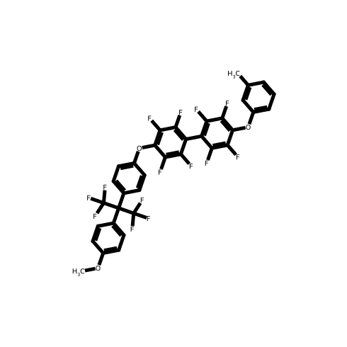 COc1ccc(C(c2ccc(Oc3c(F)c(F)c(-c4c(F)c(F)c(Oc5cccc(C)c5)c(F)c4F)c(F)c3F)cc2)(C(F)(F)F)C(F)(F)F)cc1